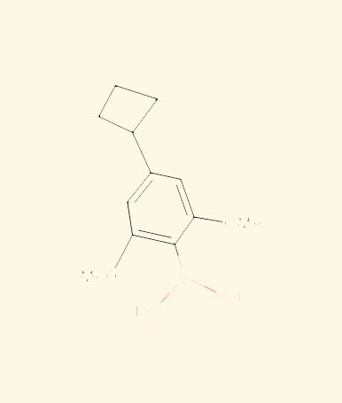 COc1cc(C2CCC2)cc(OC)c1B(O)O